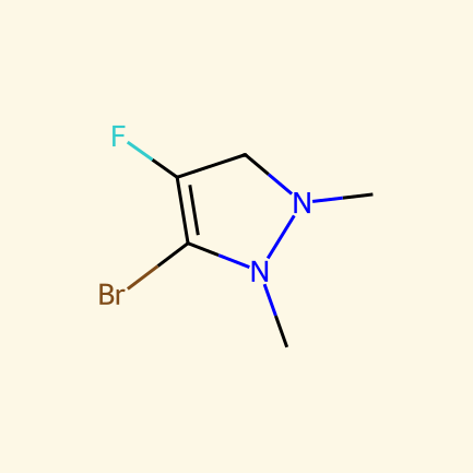 CN1CC(F)=C(Br)N1C